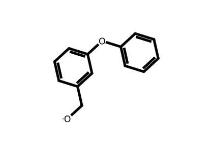 [O]Cc1cccc(Oc2ccccc2)c1